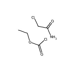 CCOC(=O)Cl.NC(=O)CCl